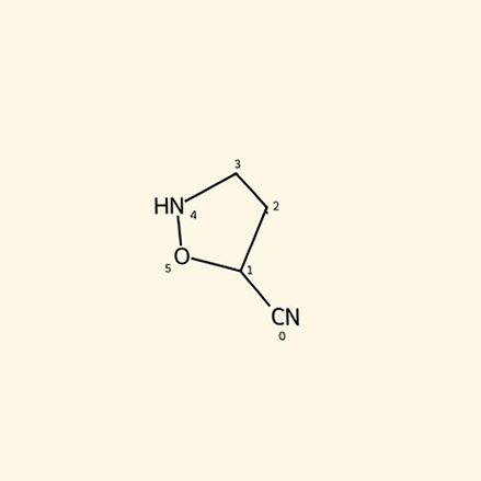 N#CC1[CH]CNO1